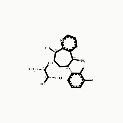 N[C@@H]1c2cccnc2[C@H](O)CC[C@H]1c1cccc(F)c1F.O=C(O)[C@H](O)[C@@H](O)C(=O)O